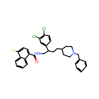 O=C(NCC(CCC1CCN(Cc2ccccc2)CC1)c1ccc(Cl)c(Cl)c1)c1ccc(F)c2ccccc12